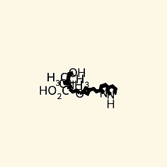 CC(C)(CO)C(=O)NC(CCOC1CC(CCc2ccc3c(n2)NCCC3)C1)C(=O)O